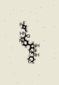 O=C(NCC1CC(F)(F)C1)c1cnn2ccc(-c3c[nH]c4nc(NC5CCOCC5)ncc34)cc12